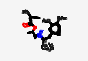 CC(=O)Oc1ccc(C[C@H](NCC(C)OC(=O)C(C)C(C)C)C(=O)O)cc1OC(C)=O